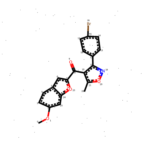 COc1ccc2cc(C(=O)c3c(-c4ccc(Br)cc4)noc3C)oc2c1